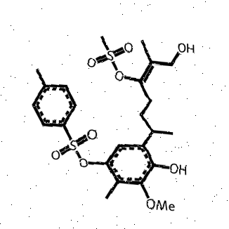 COc1c(C)c(OS(=O)(=O)c2ccc(C)cc2)cc(C(C)CC/C(OS(C)(=O)=O)=C(/C)CO)c1O